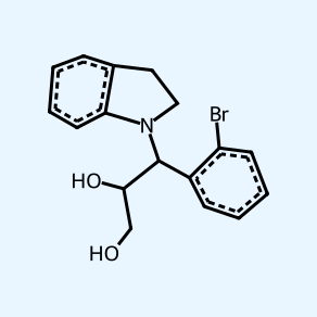 OCC(O)C(c1ccccc1Br)N1CCc2ccccc21